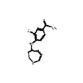 NC(=O)c1ccc(NC2CCCNCC2)c(Cl)c1